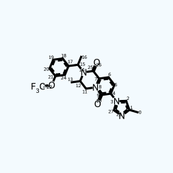 Cc1cn(-c2ccc3n(c2=O)CC(C)N(C(C)c2cccc(OC(F)(F)F)c2)C3=O)cn1